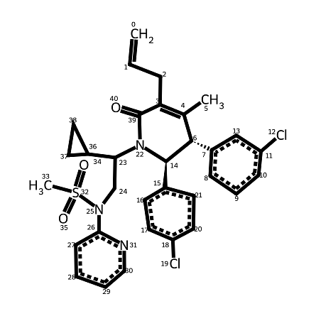 C=CCC1=C(C)[C@H](c2cccc(Cl)c2)[C@@H](c2ccc(Cl)cc2)N(C(CN(c2ccccn2)S(C)(=O)=O)C2CC2)C1=O